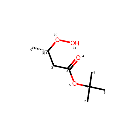 C[C@@H](CC(=O)OC(C)(C)C)OO